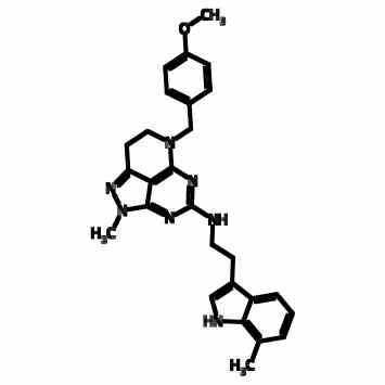 COc1ccc(CN2CCc3nn(C)c4nc(NCCc5c[nH]c6c(C)cccc56)nc2c34)cc1